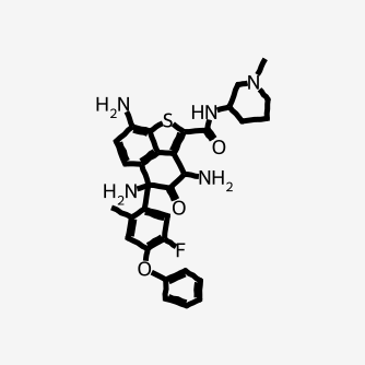 Cc1cc(Oc2ccccc2)c(F)cc1C1(N)C(=O)C(N)c2c(C(=O)NC3CCCN(C)C3)sc3c(N)ccc1c23